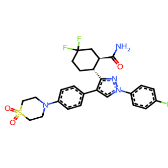 NC(=O)[C@@H]1CC(F)(F)CC[C@H]1c1nn(-c2ccc(F)cc2)cc1-c1ccc(N2CCS(=O)(=O)CC2)cc1